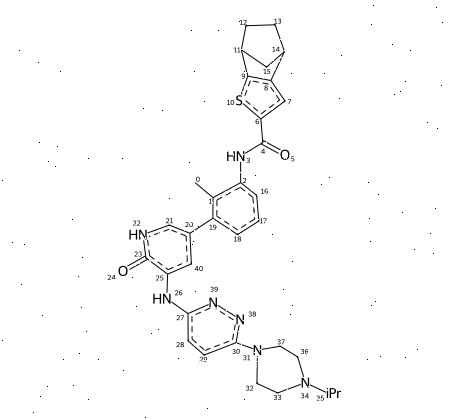 Cc1c(NC(=O)c2cc3c(s2)C2CCC3C2)cccc1-c1c[nH]c(=O)c(Nc2ccc(N3CCN(C(C)C)CC3)nn2)c1